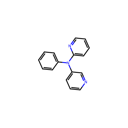 c1ccc(N(c2cccnc2)c2ccccn2)cc1